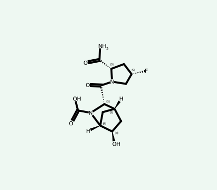 NC(=O)[C@@H]1C[C@H](F)CN1C(=O)[C@@H]1[C@@H]2C[C@@H](O)[C@@H](C2)N1C(=O)O